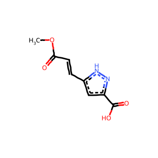 COC(=O)C=Cc1cc(C(=O)O)n[nH]1